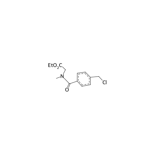 CCOC(=O)CN(C)C(=O)c1ccc(CCl)cc1